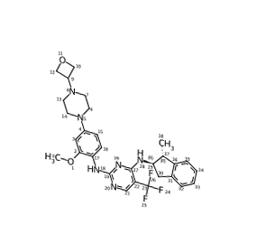 COc1cc(N2CCN(C3COC3)CC2)ccc1Nc1ncc(C(F)(F)F)c(N[C@@H]2Cc3ccccc3[C@H]2C)n1